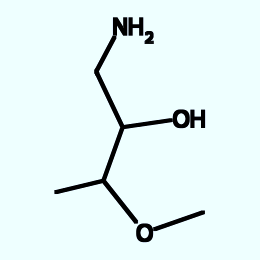 COC(C)C(O)CN